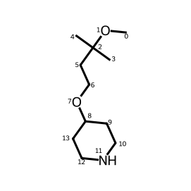 COC(C)(C)CCOC1CCNCC1